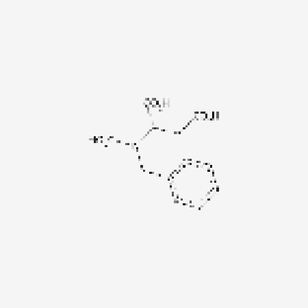 O=C(O)C[C@@H](C(=O)O)N(Cc1ccccc1)C(=O)O